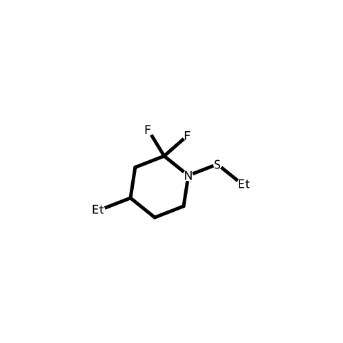 CCSN1CCC(CC)CC1(F)F